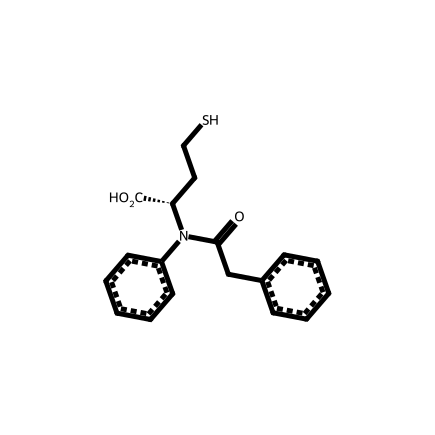 O=C(O)[C@H](CCS)N(C(=O)Cc1ccccc1)c1ccccc1